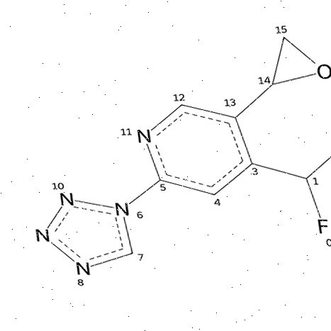 FC(F)c1cc(-n2cnnn2)ncc1C1CO1